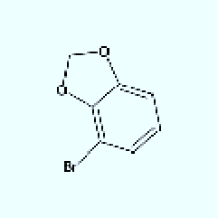 Brc1cccc2c1OCO2